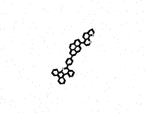 C1=CC2=CC=C(c3ccnc4c3ccc3cccnc34)C3=CC=C4C=C(c5ccc(-c6nc7c8ccccc8c8ccccc8c7c7ccccc67)cc5)C=C1C4C23